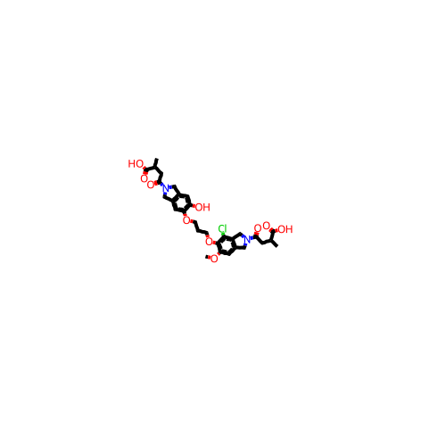 COc1cc2c(c(Cl)c1OCCCOc1cc3c(cc1O)CN(C(=O)CC(C)C(=O)O)C3)CN(C(=O)CC(C)C(=O)O)C2